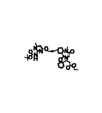 CCOC(=O)CC(c1ccccc1)N1CC(=O)N(C)c2ccc(C#CCOc3cc(C)nc(NC(=O)OC(C)(C)C)n3)cc2C1=O